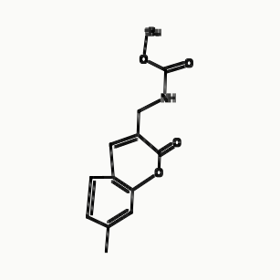 Cc1ccc2cc(CNC(=O)OC(C)(C)C)c(=O)oc2c1